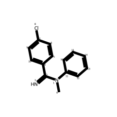 CN(C(=N)c1ccc(Cl)cc1)c1ccccc1